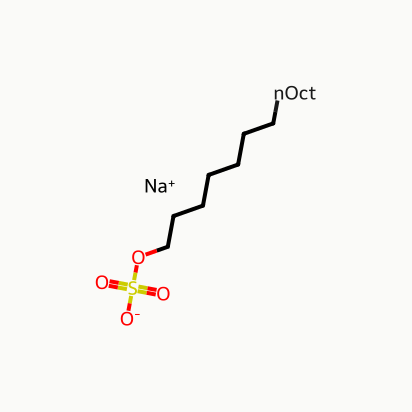 CCCCCCCCCCCCCCCOS(=O)(=O)[O-].[Na+]